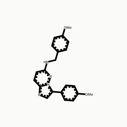 COc1ccc(CNc2ccc3ncc(-c4ccc(OC)cc4)n3n2)cc1